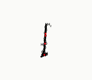 CCc1ccc(NC(=O)COCCOCCNC(=O)COCCOCCOCCOCCOCCOCCN)c(C(C)SSC)c1